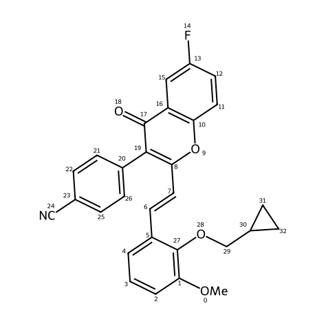 COc1cccc(C=Cc2oc3ccc(F)cc3c(=O)c2-c2ccc(C#N)cc2)c1OCC1CC1